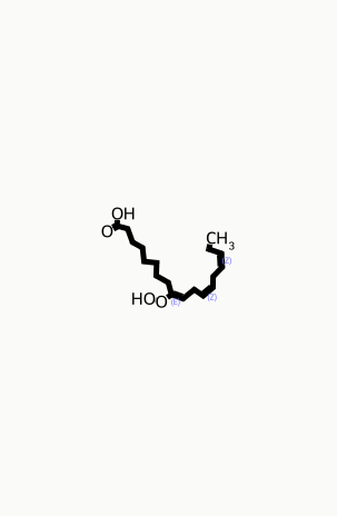 CC/C=C\C/C=C\C/C=C(\CCCCCCCC(=O)O)OO